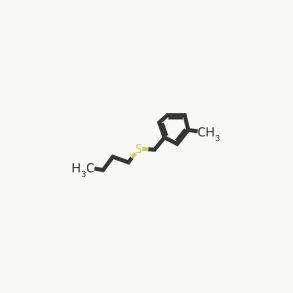 CCCCSCc1cccc(C)c1